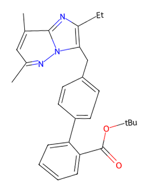 CCc1nc2c(C)cc(C)nn2c1Cc1ccc(-c2ccccc2C(=O)OC(C)(C)C)cc1